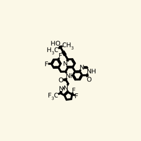 CC(C)(O)C#Cc1ccc(-c2cccc3c(=O)[nH]cnc23)c(C(Cc2cc(F)cc(F)c2)NC(=O)Cn2nc(C(F)(F)F)c3c2C(F)(F)CC3)n1